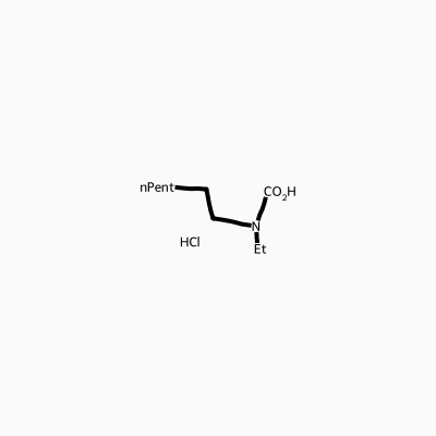 CCCCCCCN(CC)C(=O)O.Cl